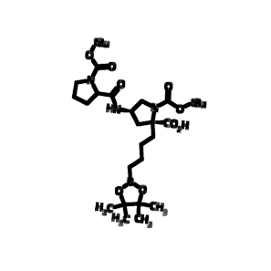 CC(C)(C)OC(=O)N1CCCC1C(=O)N[C@H]1CN(C(=O)OC(C)(C)C)[C@@](CCCCB2OC(C)(C)C(C)(C)O2)(C(=O)O)C1